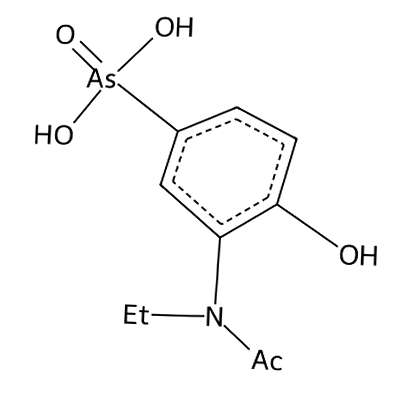 CCN(C(C)=O)c1cc([As](=O)(O)O)ccc1O